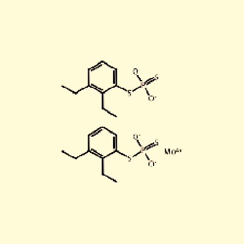 CCc1cccc(SP([O-])([O-])=S)c1CC.CCc1cccc(SP([O-])([O-])=S)c1CC.[Mo+4]